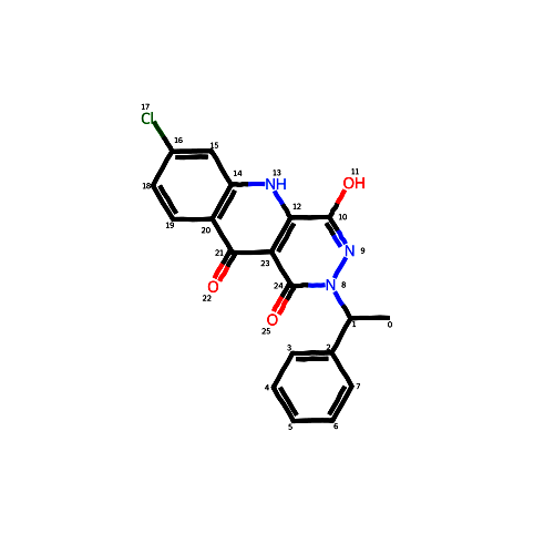 CC(c1ccccc1)n1nc(O)c2[nH]c3cc(Cl)ccc3c(=O)c2c1=O